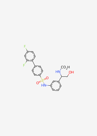 O=C(O)NC(CO)c1cccc(NS(=O)(=O)c2ccc(-c3ccc(F)cc3F)cc2)c1